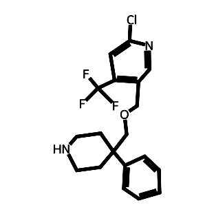 FC(F)(F)c1cc(Cl)ncc1COCC1(c2ccccc2)CCNCC1